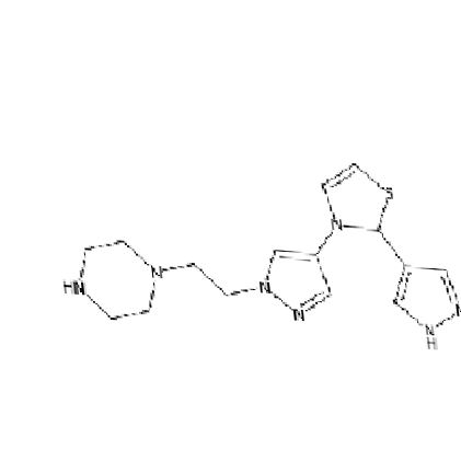 C1=CN(c2cnn(CCN3CCNCC3)c2)C(c2cn[nH]c2)S1